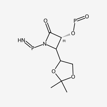 CC1(C)OCC(C2[C@@H](OP=O)C(=O)N2P=N)O1